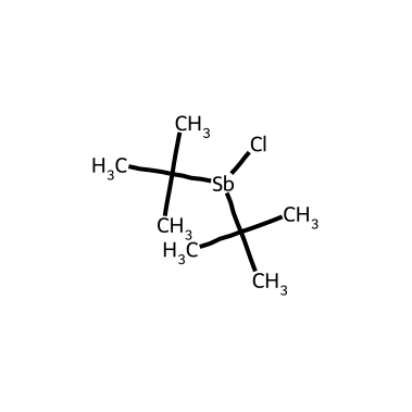 C[C](C)(C)[Sb]([Cl])[C](C)(C)C